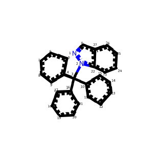 [c]1nn(C(c2ccccc2)(c2ccccc2)c2ccccc2)c2ccccc12